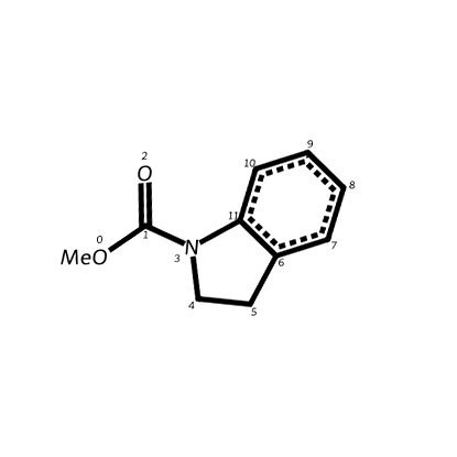 COC(=O)N1CCc2cc[c]cc21